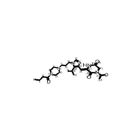 CCCC(=O)N1CCN(CCCn2cnc(/C=C3\NC(=O)CN(C(C)=O)C3=O)c2C(C)C)CC1